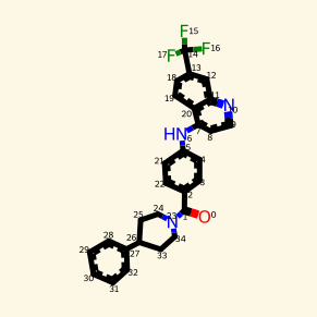 O=C(c1ccc(Nc2ccnc3cc(C(F)(F)F)ccc23)cc1)N1CCC(c2ccccc2)CC1